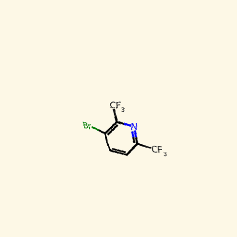 FC(F)(F)c1ccc(Br)c(C(F)(F)F)n1